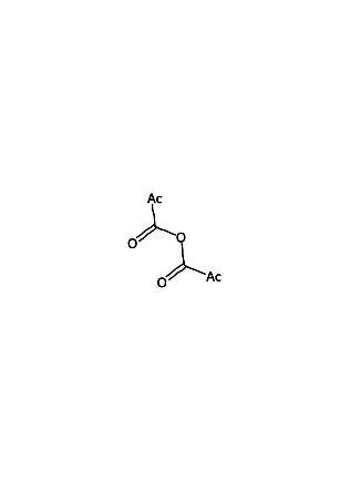 CC(=O)C(=O)OC(=O)C(C)=O